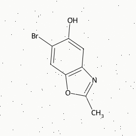 Cc1nc2cc(O)c(Br)cc2o1